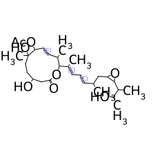 CC(=O)OC1/C=C/C(C)C(/C(C)=C/C=C/C(C)CC2OC2C(C)C(C)O)OC(=O)CC(O)CCC1(C)O